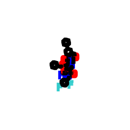 O=C(NCc1ccc(F)cc1F)c1cn2c(c(OCc3ccccc3)c1=O)C(=O)N1C(C2)OCC2CC(c3ccccc3)CCC21